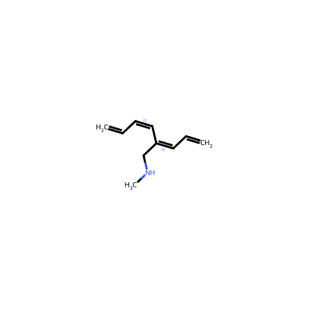 C=C/C=C\C(=C/C=C)CNC